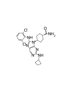 NC(=O)[C@H]1CC[C@@H](n2c(Nc3c(Cl)cccc3Cl)nc3cnc(NC4CCC4)nc32)CC1